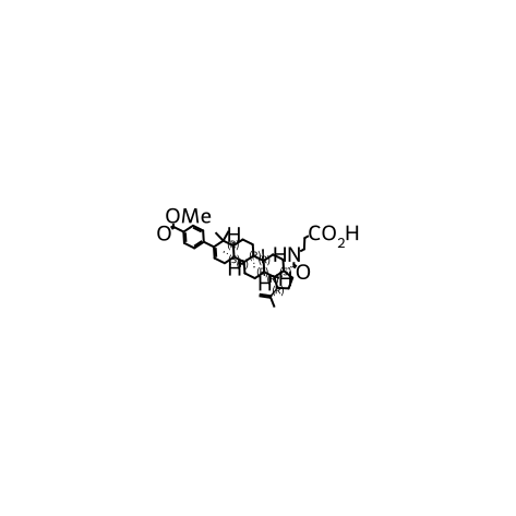 C=C(C)[C@@H]1CC[C@]2(C(=O)NCCC(=O)O)CC[C@]3(C)[C@H](CC[C@@H]4[C@@]5(C)CC=C(c6ccc(C(=O)OC)cc6)C(C)(C)[C@@H]5CC[C@]43C)[C@@H]12